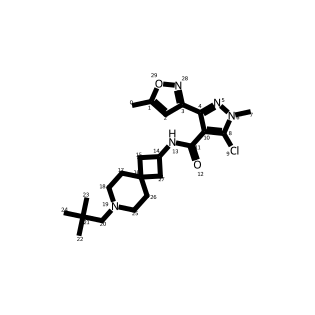 Cc1cc(-c2nn(C)c(Cl)c2C(=O)NC2CC3(CCN(CC(C)(C)C)CC3)C2)no1